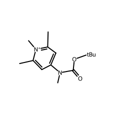 Cc1cc(N(C)C(=O)OC(C)(C)C)cc(C)[n+]1C